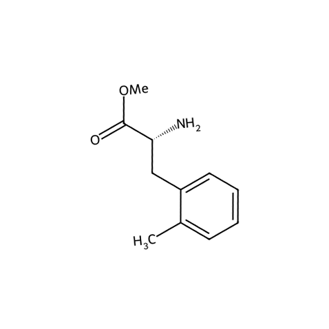 COC(=O)[C@H](N)Cc1ccccc1C